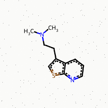 CN(C)CCc1csc2ncccc12